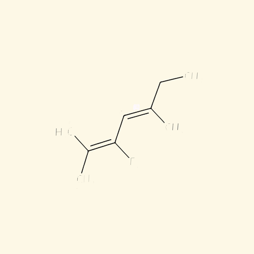 CC/C(C)=C/C(F)=C(C)C